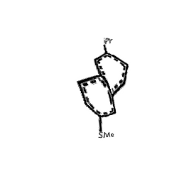 CSc1ccc2cc(C(C)C)ccc2c1